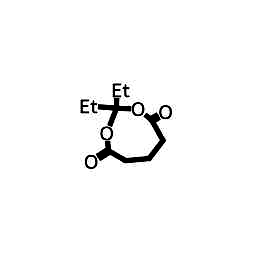 CCC1(CC)OC(=O)CCCC(=O)O1